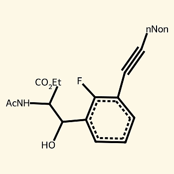 CCCCCCCCCC#Cc1cccc(C(O)C(NC(C)=O)C(=O)OCC)c1F